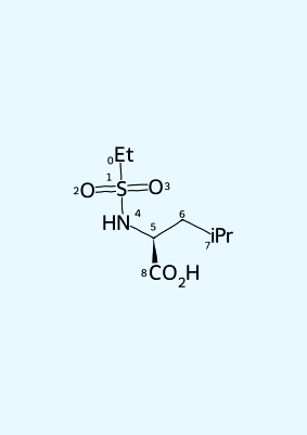 CCS(=O)(=O)N[C@@H](CC(C)C)C(=O)O